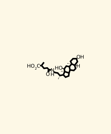 CC(CCC(=O)NCC[C@@H](C)C1CCC2C3CC[C@@H]4C[C@H](O)CC[C@]4(C)C3C[C@H](O)[C@@]21C)C(=O)O